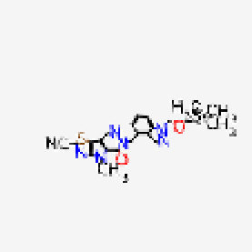 Cn1c2nc(C#N)sc2c2cnn(Cc3cccc4c3cnn4COCC[Si](C)(C)C)c(=O)c21